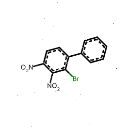 O=[N+]([O-])c1ccc(-c2ccccc2)c(Br)c1[N+](=O)[O-]